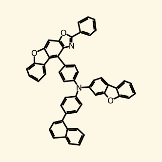 c1ccc(-c2nc3c(-c4ccc(N(c5ccc(-c6cccc7ccccc67)cc5)c5ccc6c(c5)oc5ccccc56)cc4)c4c(cc3o2)oc2ccccc24)cc1